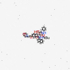 CC(C)(C)COC(=O)N[C@@H](Cc1ccccc1)[C@@H](O)C[C@@H](Cc1ccc(OCCN2CCOCC2)cc1)C(=O)N[C@H]1CCc2ccccc21